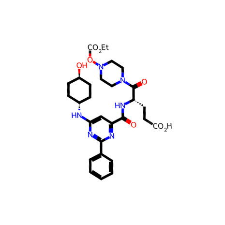 CCOC(=O)ON1CCN(C(=O)[C@H](CCC(=O)O)NC(=O)c2cc(N[C@H]3CC[C@H](O)CC3)nc(-c3ccccc3)n2)CC1